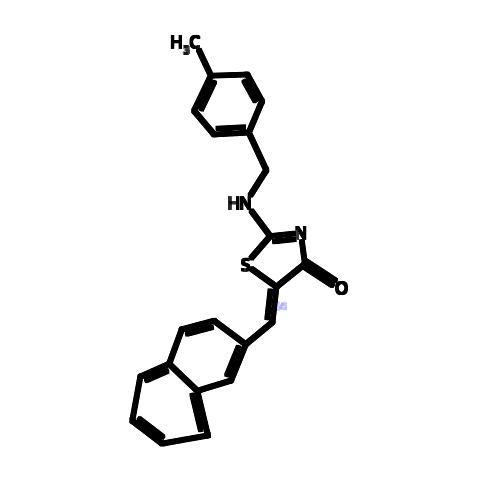 Cc1ccc(CNC2=NC(=O)/C(=C/c3ccc4ccccc4c3)S2)cc1